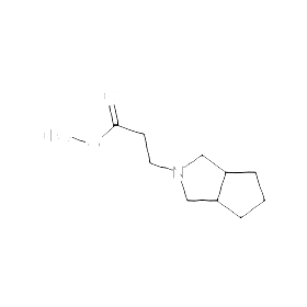 CC(C)(C)OC(=O)CCN1CC2CCCC2C1